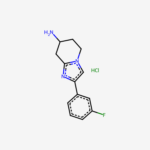 Cl.NC1CCn2cc(-c3cccc(F)c3)nc2C1